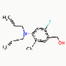 C=CCN(CC=C)c1cc(F)c(CO)cc1N=O